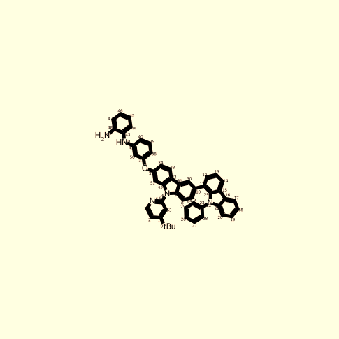 CC(C)(C)c1ccnc(-n2c3ccc(-c4cccc5c6ccccc6n(-c6ccccc6)c45)cc3c3ccc(Oc4cccc(Nc5ccccc5N)c4)cc32)c1